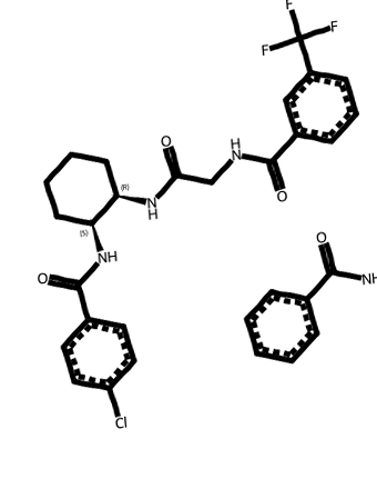 NC(=O)c1ccccc1.O=C(CNC(=O)c1cccc(C(F)(F)F)c1)N[C@@H]1CCCC[C@@H]1NC(=O)c1ccc(Cl)cc1